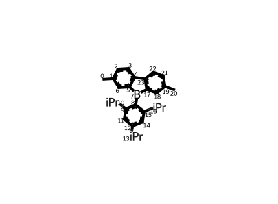 Cc1ccc2c(c1)B(c1c(C(C)C)cc(C(C)C)cc1C(C)C)c1cc(C)ccc1-2